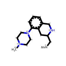 CNCC1Cc2c(cccc2N2CCN(C)CC2)CN1